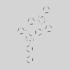 c1ccc(-c2ccc(-c3nc(-c4ccc5c(c4)oc4cccc(-c6nc(-c7ccccc7)nc(-c7ccccc7)n6)c45)c4sc5ccccc5c4n3)cc2)cc1